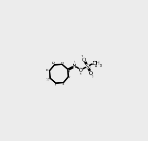 CS(=O)(=O)ON=C1CCCCCCC1